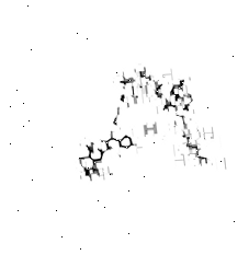 CC[C@@]1(O)C(=O)OCc2c1cc1n(c2=O)Cc2c-1nc1cc(F)c(C)cc1c2CSCCCSCNC(=O)[C@H](C)NC(=O)[C@H](C)NC(=O)[C@H](C)NC(=O)[C@H](CCC(=O)N(C)C[C@H](O)[C@@H](O)[C@H](O)[C@H](O)CO)NC(=O)CCN1C(=O)C=CC1=O